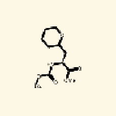 COC(=O)[C@H](CC1CCCCO1)NC(=O)OC(C)(C)C